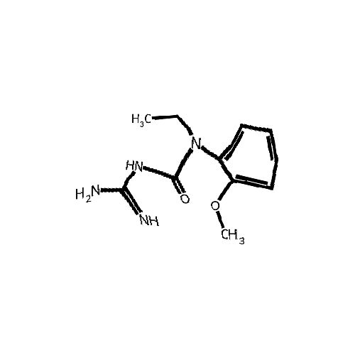 CCN(C(=O)NC(=N)N)c1ccccc1OC